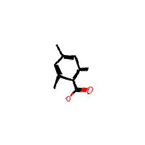 Cc1cc(C)c(C([O])=O)c(C)c1